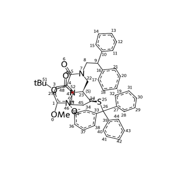 COc1ccc(C(=O)N(CC(c2ccccc2)c2ccccc2)C[C@H]2[C@@H](SC(c3ccccc3)(c3ccccc3)c3ccccc3)CCN2C(=O)OC(C)(C)C)c[n+]1[O-]